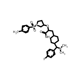 Cc1ccc(S(=O)(=O)N2CCC(OC(CC3CCC(C(c4ccc(F)cc4)N(C)C)CC3)C(N)=O)C2)cc1